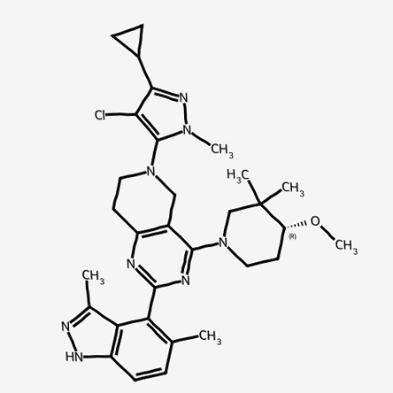 CO[C@@H]1CCN(c2nc(-c3c(C)ccc4[nH]nc(C)c34)nc3c2CN(c2c(Cl)c(C4CC4)nn2C)CC3)CC1(C)C